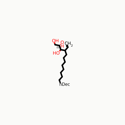 C=CC(CCCCCCCCCCCCCCCCCC)C(O)[C@@H](O)CO